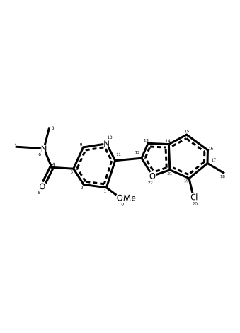 COc1cc(C(=O)N(C)C)cnc1-c1cc2ccc(C)c(Cl)c2o1